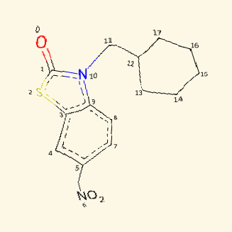 O=c1sc2cc([N+](=O)[O-])ccc2n1CC1CCCCC1